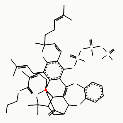 CC(C)=CCCC1(C)C=Cc2c(c(CC=C(C)C)c3c(c2OP(=O)(O)OP(=O)(O)OP(=O)(O)O)C2=C4C(Sc5ccccc5N2)C2CC5C(C)(C)OC(C/C=C(/C)C(=O)NCCO)(C2=O)C45O3)O1